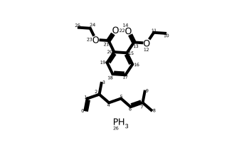 C=CC(C)CCC=C(C)C.CCOC(=O)c1ccccc1C(=O)OCC.P